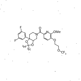 [2H]C1([2H])OC2CN(C(=O)c3ccc(OCCOC(F)(F)F)c(OC)n3)CCC2(c2cc(F)cc(F)c2)O1